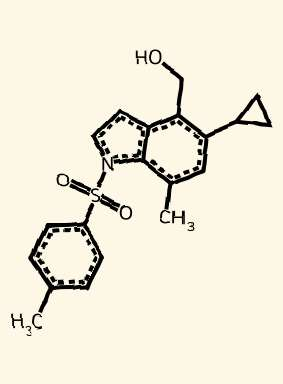 Cc1ccc(S(=O)(=O)n2ccc3c(CO)c(C4CC4)cc(C)c32)cc1